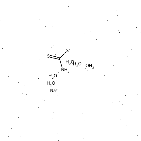 NC(=S)[S-].O.O.O.O.O.[Na+]